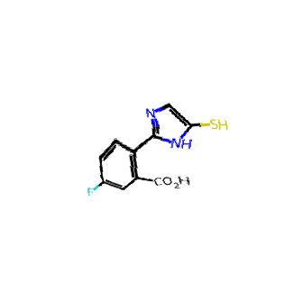 O=C(O)c1cc(F)ccc1-c1ncc(S)[nH]1